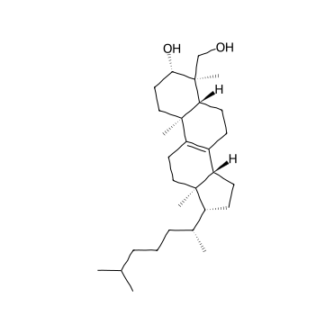 CC(C)CCC[C@@H](C)[C@H]1CC[C@H]2C3=C(CC[C@]12C)[C@@]1(C)CC[C@H](O)[C@@](C)(CO)[C@@H]1CC3